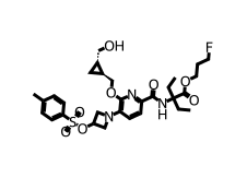 CCC(CC)(NC(=O)c1ccc(N2CC(OS(=O)(=O)c3ccc(C)cc3)C2)c(OC[C@H]2C[C@@H]2CO)n1)C(=O)OCCCF